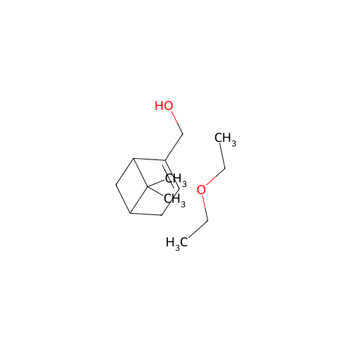 CC1(C)C2CC=C(CO)C1C2.CCOCC